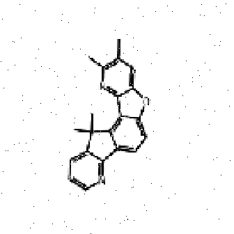 Cc1nc2oc3ccc4c(c3c2nc1C)C(C)(C)c1cccnc1-4